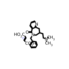 CN(C)CCC1Cc2ncccc2C(=O)N(Cc2ccccc2)C1.O=C(O)/C=C/C(=O)O